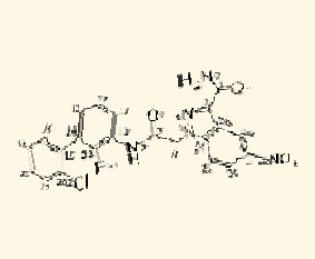 NC(=O)c1nn(CC(=O)Nc2cccc(-c3ccccc3Cl)c2F)c2ccc([N+](=O)[O-])cc12